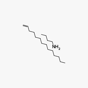 C=CCCCCCCCCCCCC.CCCCN